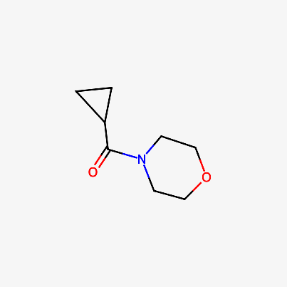 O=C(C1CC1)N1CCOCC1